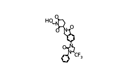 O=C1CCC(N2Cc3cc(N4C[C@@H](C(F)(F)F)N(c5ccccc5)C4=O)ccc3C2=O)C(=O)N1CO